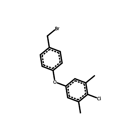 Cc1cc(Oc2ccc(CBr)cc2)cc(C)c1Cl